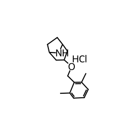 Cc1cccc(C)c1COC1CC2CCC(C1)N2.Cl